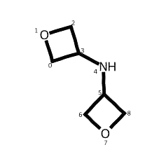 C1OCC1NC1COC1